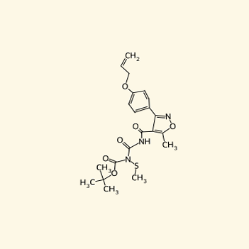 C=CCOc1ccc(-c2noc(C)c2C(=O)NC(=O)N(SC)C(=O)OC(C)(C)C)cc1